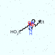 CC1CNCCN1.CCC(C)(C)CCCC(C)CO.O=C(O)CCCCCCCCC(=O)ON1CCCCC1